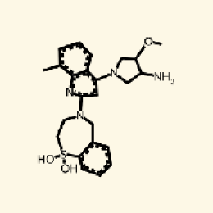 COC1CN(c2cc(N3CCS(O)(O)c4ccccc4C3)nc3c(C)cccc23)CC1N